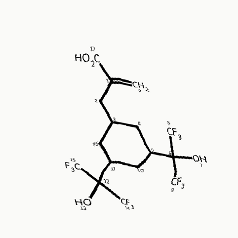 C=C(CC1CC(C(O)(C(F)(F)F)C(F)(F)F)CC(C(O)(C(F)(F)F)C(F)(F)F)C1)C(=O)O